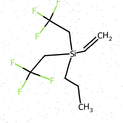 C=C[Si](CCC)(CC(F)(F)F)CC(F)(F)F